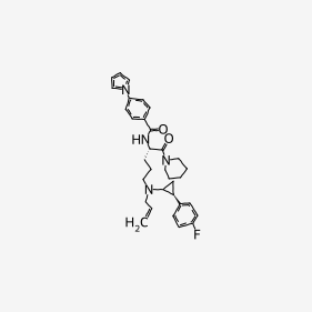 C=CCN(CCC[C@H](NC(=O)c1ccc(-n2cccc2)cc1)C(=O)N1CCCCC1)C1C[C@H]1c1ccc(F)cc1